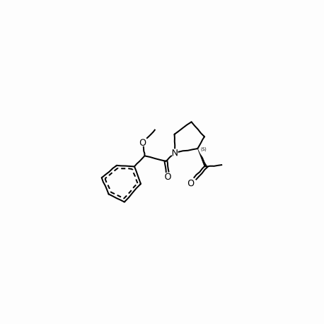 COC(C(=O)N1CCC[C@H]1C(C)=O)c1ccccc1